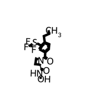 CCCc1ccc(C(=O)N2CC[C@@H]2C(=O)NO)cc1SC(F)(F)F